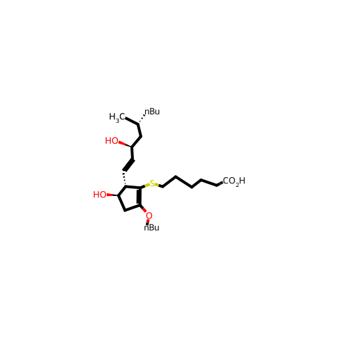 CCCCOC1=C(SCCCCCC(=O)O)[C@@H](C=C[C@@H](O)C[C@H](C)CCCC)[C@H](O)C1